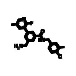 Cc1cnc(F)c(-c2cc(CN)cc(C(=O)NCc3ccc(Cl)c(C)c3)c2)c1